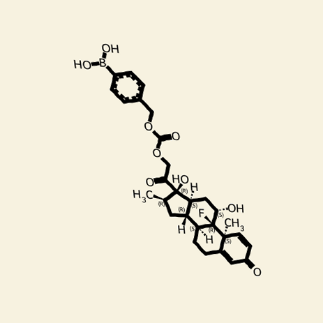 C[C@@H]1C[C@@H]2[C@H](C[C@H](O)[C@@]3(F)[C@H]2CCC2=CC(=O)C=C[C@@]23C)[C@@]1(O)C(=O)COC(=O)OCc1ccc(B(O)O)cc1